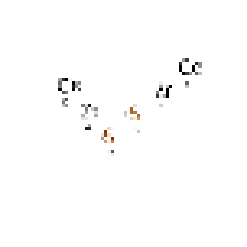 [Ce].[Ce].[S].[S].[Zr].[Zr]